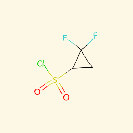 O=S(=O)(Cl)C1CC1(F)F